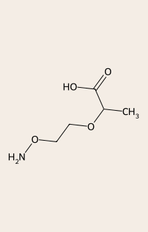 CC(OCCON)C(=O)O